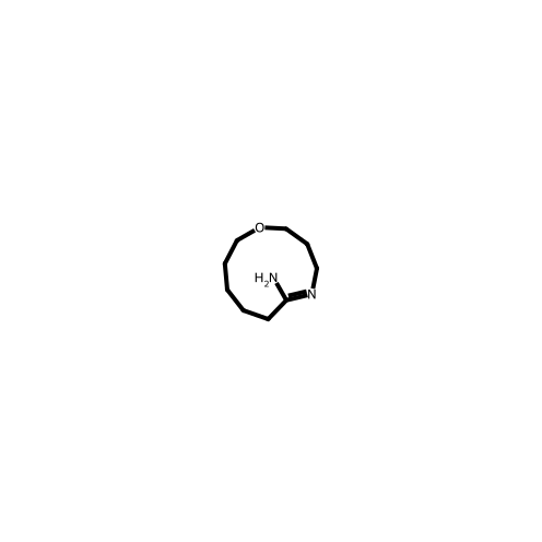 N/C1=N\CCCOCCCCC1